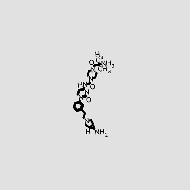 CC(C)(N)C(=O)N1CCN(C(=O)Nc2ccn(-c3cccc(CCN4CC5C(N)[C@@H]5C4)c3)c(=O)n2)CC1